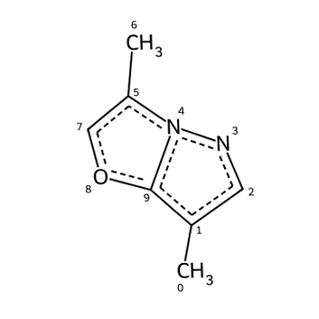 Cc1cnn2c(C)coc12